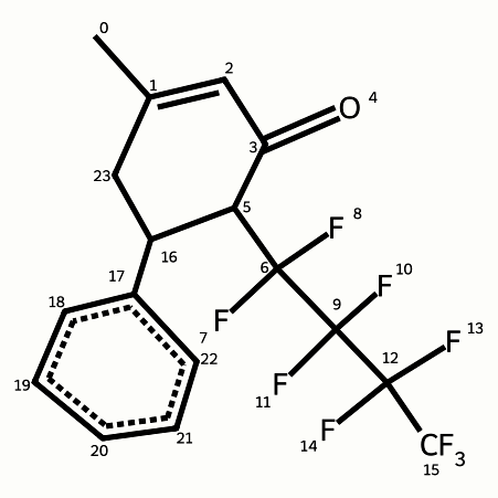 CC1=CC(=O)C(C(F)(F)C(F)(F)C(F)(F)C(F)(F)F)C(c2ccccc2)C1